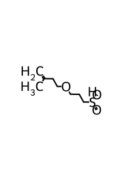 C=C(C)CCOCCC[SH](=O)=O